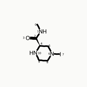 CNC(=O)[C@H]1CN(I)CCN1